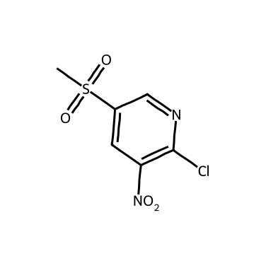 CS(=O)(=O)c1cnc(Cl)c([N+](=O)[O-])c1